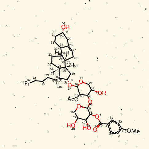 COc1ccc(C(=O)OC2C(OC3C(O)COC(O[C@H]4C[C@@H]5[C@H](CC[C@H]6[C@H]5CC=C5C[C@@H](O)CC[C@@]56C)[C@H]4[C@H](C)CCCC(C)C)C3OC(C)=O)OCC(O)C2O)cc1